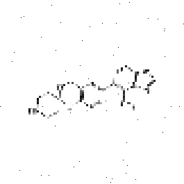 Cc1c(-c2ccc3c(c2)COC2(CCNCC2)O3)ccc2ccnn12